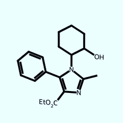 CCOC(=O)c1nc(C)n(C2CCCCC2O)c1-c1ccccc1